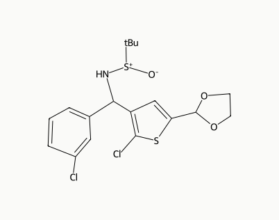 CC(C)(C)[S+]([O-])NC(c1cccc(Cl)c1)c1cc(C2OCCO2)sc1Cl